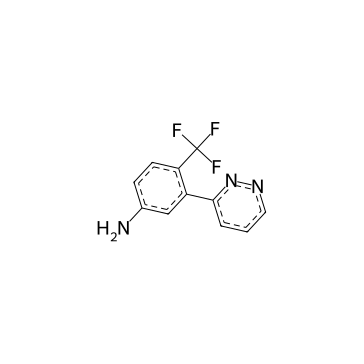 Nc1ccc(C(F)(F)F)c(-c2cccnn2)c1